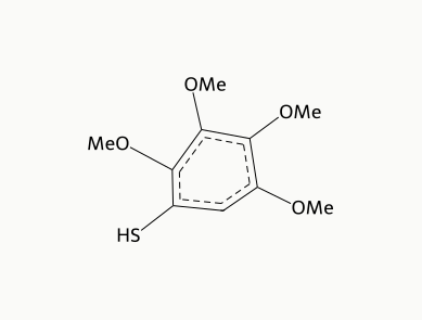 COc1cc(S)c(OC)c(OC)c1OC